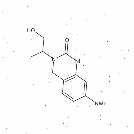 CNc1ccc2c(c1)NC(=O)N(C(C)CO)C2